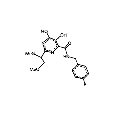 CNC(COC)c1nc(O)c(O)c(C(=O)NCc2ccc(F)cc2)n1